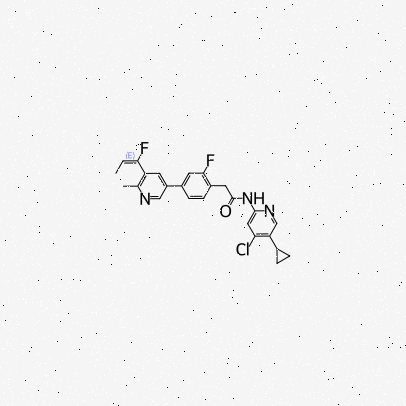 C/C=C(/F)c1cc(-c2ccc(CC(=O)Nc3cc(Cl)c(C4CC4)cn3)c(F)c2)cnc1C